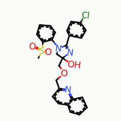 CS(=O)(=O)c1ccccc1N1CC(O)(COCc2ccc3ccccc3n2)N=C1c1ccc(Cl)cc1